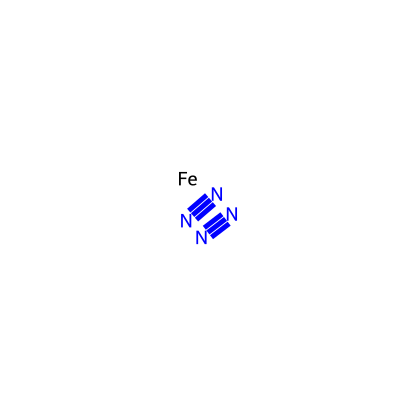 N#N.N#N.[Fe]